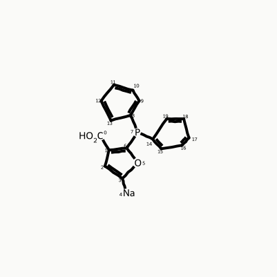 O=C(O)c1c[c]([Na])oc1P(c1ccccc1)c1ccccc1